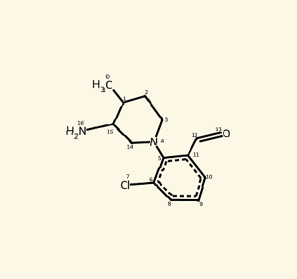 CC1CCN(c2c(Cl)cccc2C=O)CC1N